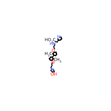 Cc1c(OCCCNC(Cc2cccnc2)C(=O)O)cccc1-c1cccc(OCCCN2CC[C@@H](O)C2)c1C